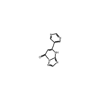 O=c1cc(-c2cncnc2)[nH]c2ncnn12